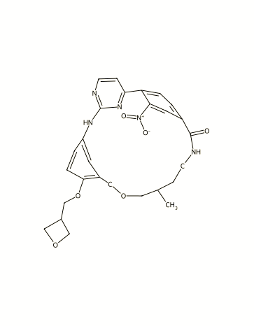 CC1CCNC(=O)c2ccc(c([N+](=O)[O-])c2)-c2ccnc(n2)Nc2ccc(OCC3COC3)c(c2)COC1